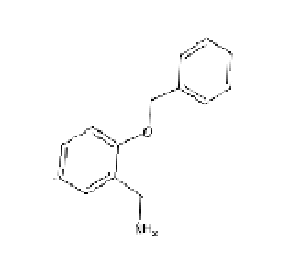 NCc1c[c]ccc1OCc1ccccc1